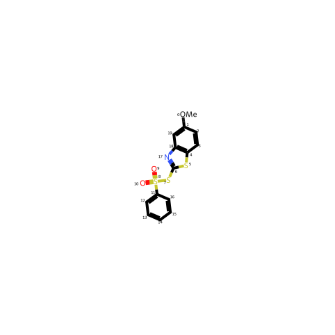 COc1ccc2sc(SS(=O)(=O)c3ccccc3)nc2c1